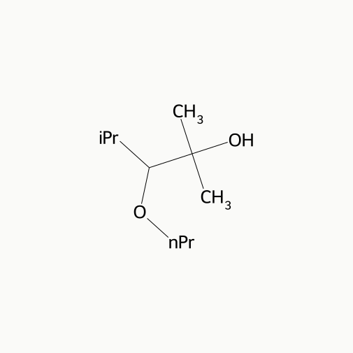 CCCOC(C(C)C)C(C)(C)O